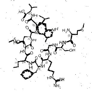 CC[C@H](C)[C@H](NC(=O)[C@H](Cc1ccccc1)NC(=O)[C@H](CCCNC(=N)N)NC(=O)[C@H](Cc1c[nH]c2ccccc12)NC(=O)[C@H](CO)NC(=O)[C@@H](N)CCSC)C(=O)N[C@@H](CCSC)C(=O)N[C@@H](CC(=O)O)C(=O)N[C@@H](CC(C)C)C(=O)N[C@H](C(=O)O)C(C)C